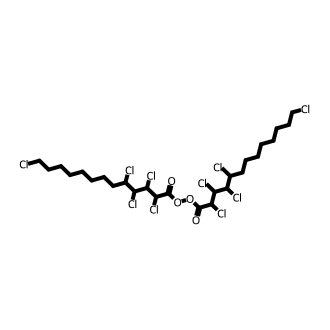 O=C(OOC(=O)C(Cl)C(Cl)C(Cl)C(Cl)CCCCCCCCCl)C(Cl)C(Cl)C(Cl)C(Cl)CCCCCCCCCl